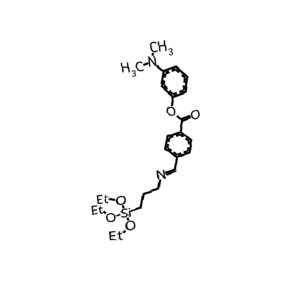 CCO[Si](CCCN=Cc1ccc(C(=O)Oc2cccc(N(C)C)c2)cc1)(OCC)OCC